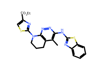 CCOC(=O)c1csc(N2CCCc3c2nnc(Nc2nc4ccccc4s2)c3C)n1